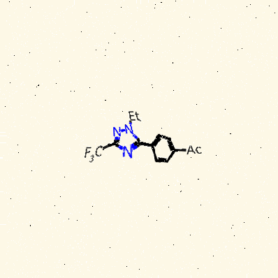 CCn1nc(C(F)(F)F)nc1-c1ccc(C(C)=O)cc1